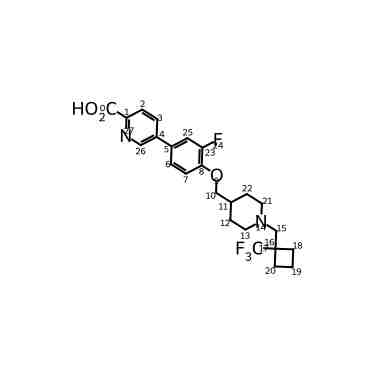 O=C(O)c1ccc(-c2ccc(OCC3CCN(CC4(C(F)(F)F)CCC4)CC3)c(F)c2)cn1